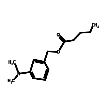 CCCCC(=O)OCc1cccc(N(C)C)c1